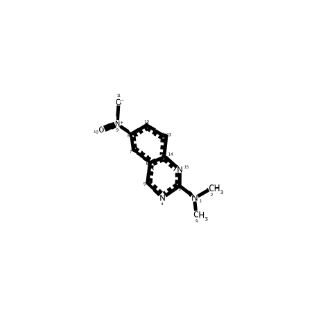 CN(C)c1ncc2cc([N+](=O)[O-])ccc2n1